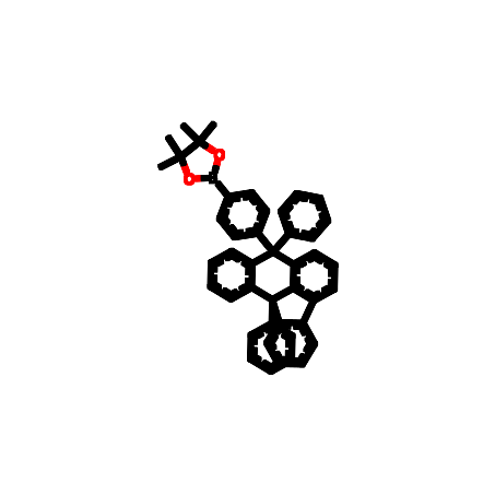 CC1(C)OB(c2ccc(C3(c4ccccc4)c4ccccc4C4(c5ccccc5)c5ccccc5-c5cccc3c54)cc2)OC1(C)C